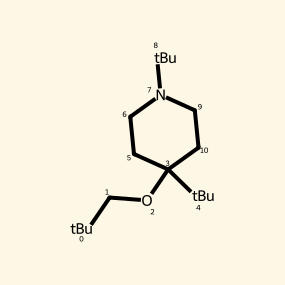 CC(C)(C)COC1(C(C)(C)C)CCN(C(C)(C)C)CC1